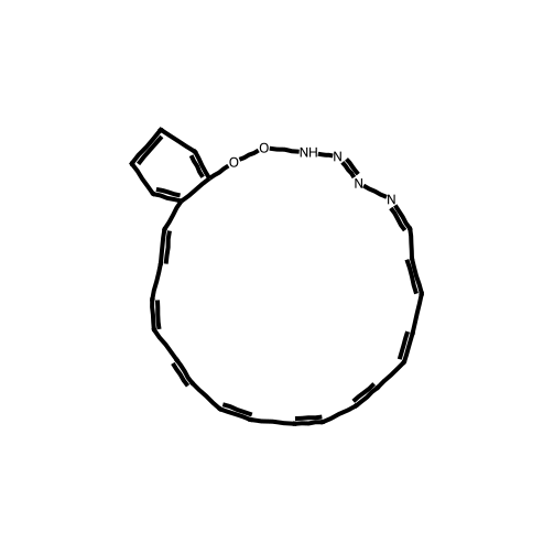 C1=CC=CC=CC=CC=NN=NNOOc2ccccc2C=CC=CC=CC=C1